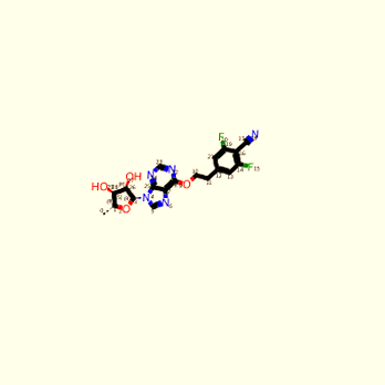 C[C@H]1O[C@@H](n2cnc3c(OCCc4cc(F)c(C#N)c(F)c4)ncnc32)[C@H](O)[C@@H]1O